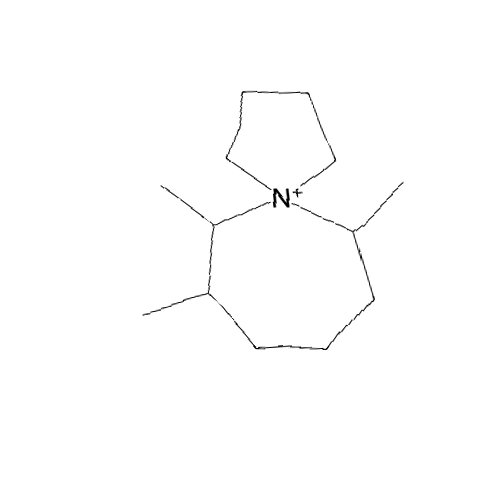 CC1CCCC(C)[N+]2(CCCC2)C1C